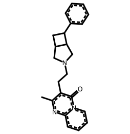 Cc1nc2ccccn2c(=O)c1CCN1CC2CC(c3ccccc3)C2C1